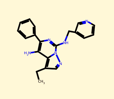 CCc1cnn2c(NCc3cccnc3)nc(-c3ccccc3)c(N)c12